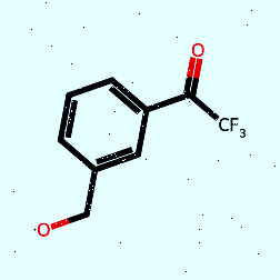 [O]Cc1cccc(C(=O)C(F)(F)F)c1